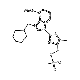 COc1cccc2c(-c3nc(C)c(COS(C)(=O)=O)s3)cn(CC3CCCCC3)c12